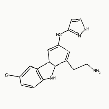 NCCC1=CC(Nc2cc[nH]n2)=CC2c3cc(Cl)ccc3NC12